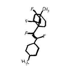 CC1CCC(/C(F)=C(\F)C23CCC(C)(CC2)C(F)=C3F)CC1